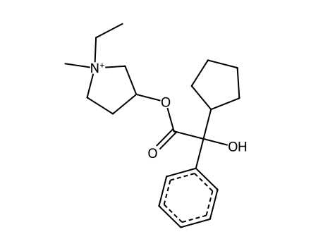 CC[N+]1(C)CCC(OC(=O)C(O)(c2ccccc2)C2CCCC2)C1